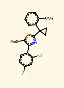 COc1ccccc1C1(c2nc(-c3ccc(Cl)cc3Cl)c(SC)s2)CC1